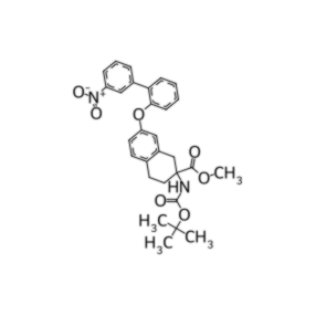 COC(=O)C1(NC(=O)OC(C)(C)C)CCc2ccc(Oc3ccccc3-c3cccc([N+](=O)[O-])c3)cc2C1